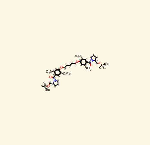 COc1cc(C(=O)N2CCCC2CO[Si](C)(C)C(C)(C)C)c([N+](=O)[O-])cc1OCCCCCOc1cc([N+](=O)[O-])c(C(=O)N2CCC[C@H]2CO[Si](C)(C)C(C)(C)C)cc1OC